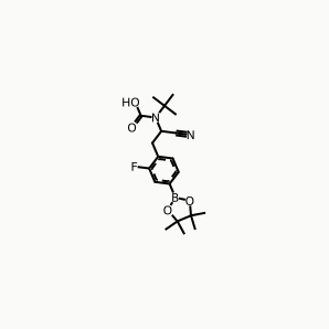 CC(C)(C)N(C(=O)O)C(C#N)Cc1ccc(B2OC(C)(C)C(C)(C)O2)cc1F